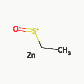 CC[S+]=O.[Zn]